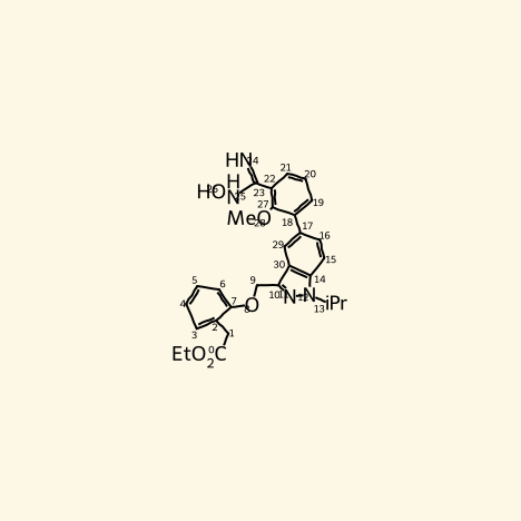 CCOC(=O)Cc1ccccc1OCc1nn(C(C)C)c2ccc(-c3cccc(C(=N)NO)c3OC)cc12